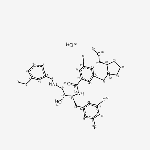 CCc1cccc(CNC[C@@H](O)[C@H](Cc2cc(F)cc(F)c2)NC(=O)c2cc(C)cc(CN3CCC[C@@H]3COC)c2)c1.Cl